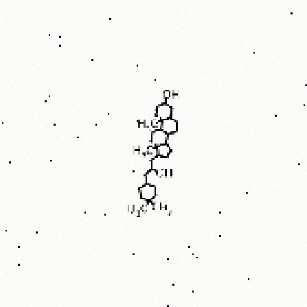 CC1(C)CCC(CC(O)CC2CCC3C4CCC5CC(O)CCC5(C)C4CCC23C)CC1